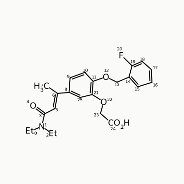 CCN(CC)C(=O)C=C(C)c1ccc(OCc2ccccc2F)c(OCC(=O)O)c1